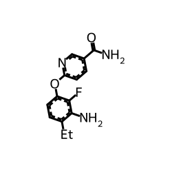 CCc1ccc(Oc2ccc(C(N)=O)cn2)c(F)c1N